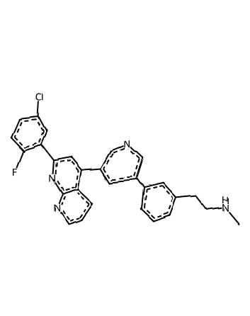 CNCCc1cccc(-c2cncc(-c3cc(-c4cc(Cl)ccc4F)nc4ncccc34)c2)c1